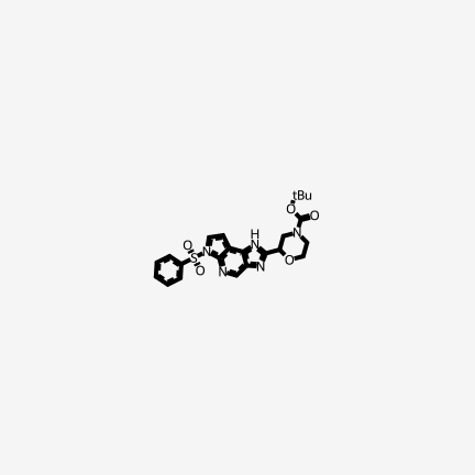 CC(C)(C)OC(=O)N1CCOC(c2nc3cnc4c(ccn4S(=O)(=O)c4ccccc4)c3[nH]2)C1